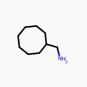 NCC1CCCCCCC1